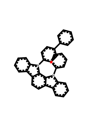 c1ccc(-c2ccc(-n3c4ccccc4c4ccc5c6ccccc6n(-c6ccccn6)c5c43)nc2)cc1